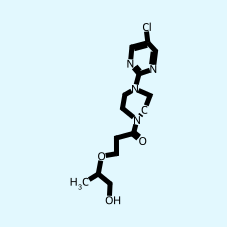 CC(CO)OCCC(=O)N1CCN(c2ncc(Cl)cn2)CC1